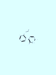 O=C(O)COc1ccccc1.O=C(O)c1ccccn1